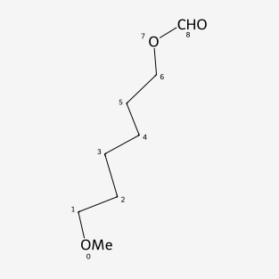 COCCCCCCOC=O